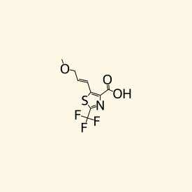 COCC=Cc1sc(C(F)(F)F)nc1C(=O)O